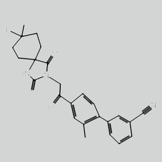 Cc1cc(C(=O)CN2C(=O)NC3(CCC(F)(F)CC3)C2=O)ccc1-c1cccc(C#N)c1